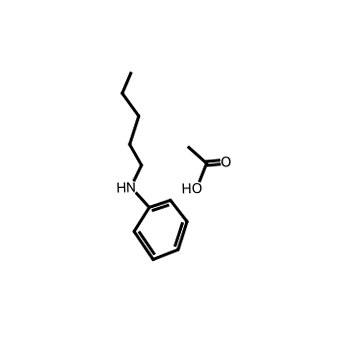 CC(=O)O.CCCCCNc1ccccc1